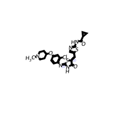 CN1CCC(Oc2ccc(/N=C3/NC(=O)/C(=C/c4cnc(NC(=O)C5CC5)s4)S3)c(Cl)c2)CC1